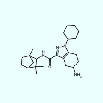 CC12CCC(C1)C(C)(C)C2NC(=O)c1nn(C2CCCCC2)c2c1CC(N)CC2